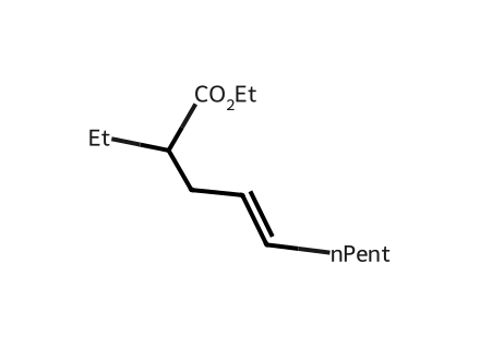 CCCCCC=CCC(CC)C(=O)OCC